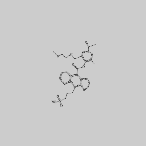 COCCOCc1cc(C(C)=O)cc(C)c1OC(=O)c1c2ccccc2[n+](CCCS(=O)(=O)O)c2ccccc12